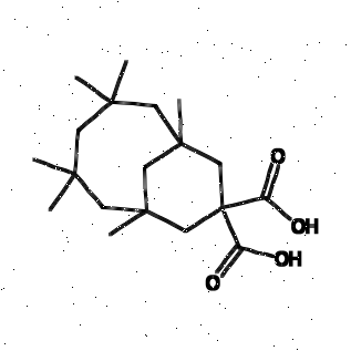 CC1(C)CC(C)(C)CC2(C)CC(C)(C1)CC(C(=O)O)(C(=O)O)C2